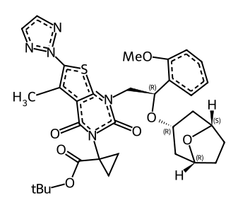 COc1ccccc1[C@H](Cn1c(=O)n(C2(C(=O)OC(C)(C)C)CC2)c(=O)c2c(C)c(-n3nccn3)sc21)O[C@H]1C[C@H]2CC[C@@H](C1)O2